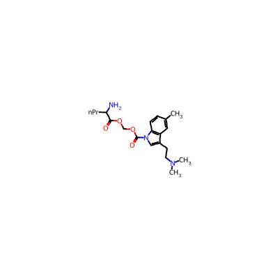 CCCC(N)C(=O)OCOC(=O)n1cc(CCN(C)C)c2cc(C)ccc21